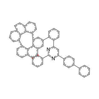 c1ccc(-c2ccc(-c3cc(-c4ccccc4-c4cc5ccc6cccc7c8cccc9ccc%10cccc(c(c4)c5c67)c%10c98)nc(-c4ccccc4)n3)cc2)cc1